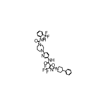 O=C(Nc1ccc(N2CCCN(C(=O)Nc3ccccc3C(F)(F)F)CC2)nc1)c1oc(N2CCC(c3ccccc3)CC2)nc1C(F)(F)F